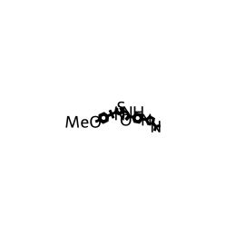 COc1ccc(C(C)(C)c2csc(NC(=O)c3ccc(N4CCC(N(C)C)C4)cc3)n2)cc1